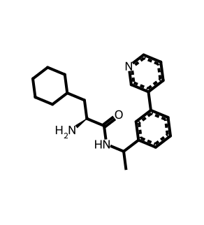 CC(NC(=O)[C@@H](N)CC1CCCCC1)c1cccc(-c2cccnc2)c1